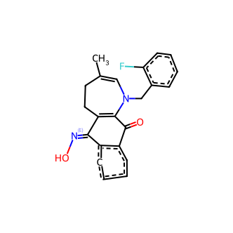 CC1=CN(Cc2ccccc2F)C2=C(CC1)/C(=N/O)c1ccccc1C2=O